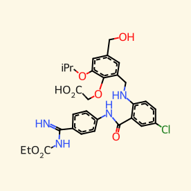 CCOC(=O)NC(=N)c1ccc(NC(=O)c2cc(Cl)ccc2NCc2cc(CO)cc(OC(C)C)c2OCC(=O)O)cc1